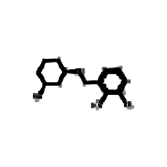 Nc1c(CN[C@@H]2CCC[C@H](O)C2)cccc1C(F)(F)F